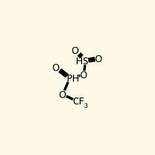 O=[PH](O[SH](=O)=O)OC(F)(F)F